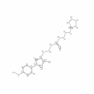 CCc1ccc(-c2nc(CCCC(=O)CCCCN3CCCC3)c(C)o2)cc1